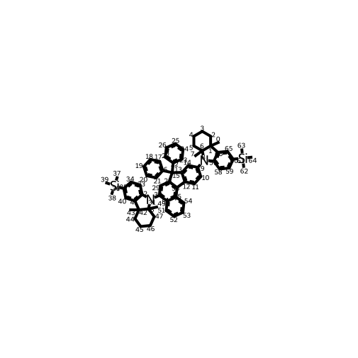 CC12CCCCC1(C)N(c1ccc3c(c1)C(c1ccccc1)(c1ccccc1)c1cc(N4c5ccc([Si](C)(C)C)cc5C5(C)CCCCC45C)c4ccccc4c1-3)c1ccc([Si](C)(C)C)cc12